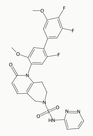 COc1cc(-c2cc(F)c(F)c(OC)c2)c(F)cc1-n1c2c(ccc1=O)CN(S(=O)(=O)Nc1cccnn1)CC2